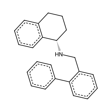 c1ccc(-c2ccccc2CN[C@H]2CCCc3ccccc32)cc1